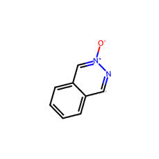 [O-][n+]1cc2ccccc2[c]n1